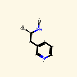 CCN[C@@H](Cc1cccnc1)N=O